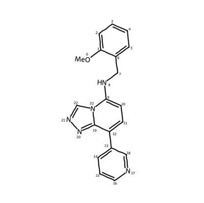 COc1ccccc1CNc1ccc(-c2cccnc2)c2nncn12